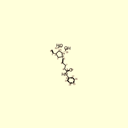 C=C[C@@H]1C[C@H](C=CCCC(=O)Nc2ccccc2)[C@@H](CO)[C@H]1CO